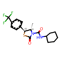 C[C@H]1[C@H](c2ccc(C(F)(F)F)cc2)SC(=O)N1C(=O)NC1CCCCC1